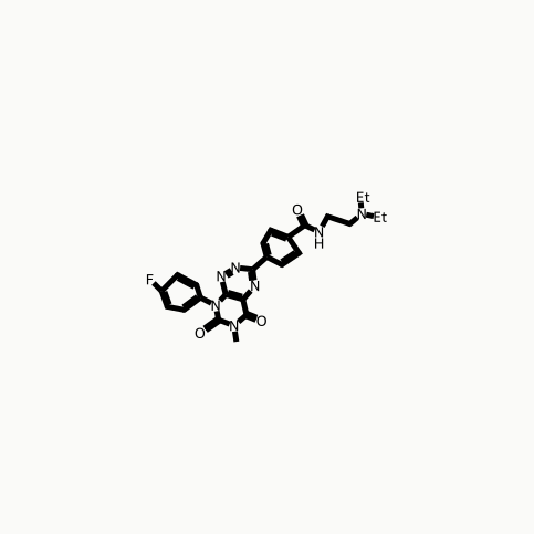 CCN(CC)CCNC(=O)c1ccc(-c2nnc3c(n2)c(=O)n(C)c(=O)n3-c2ccc(F)cc2)cc1